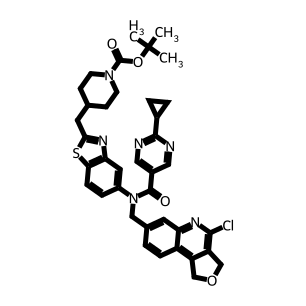 CC(C)(C)OC(=O)N1CCC(Cc2nc3cc(N(Cc4ccc5c6c(c(Cl)nc5c4)COC6)C(=O)c4cnc(C5CC5)nc4)ccc3s2)CC1